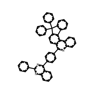 c1ccc(-c2nc(-c3ccc(-c4nc5ccccc5c5c6c(ccc45)C(c4ccccc4)(c4ccccc4)c4ccccc4-6)cc3)c3ccccc3n2)cc1